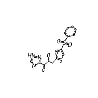 O=C(Cc1nc(S(=O)(=O)c2ccccc2)cs1)C(=O)c1nc[nH]n1